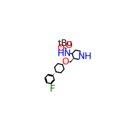 CC(C)(C)OC(=O)NC1CCNC[C@H]1CO[C@H]1CC[C@@H](c2cccc(F)c2)CC1